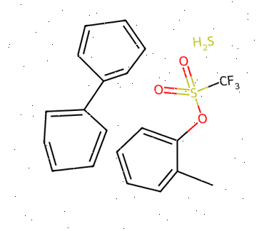 Cc1ccccc1OS(=O)(=O)C(F)(F)F.S.c1ccc(-c2ccccc2)cc1